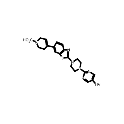 CCCc1cnc(N2CCN(c3nc4ccc(C5=CCN(C(=O)O)CC5)cc4s3)CC2)nc1